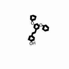 Oc1ccc(/C=C/c2cc(Oc3ccccc3)cc(Oc3ccccc3)c2)cc1